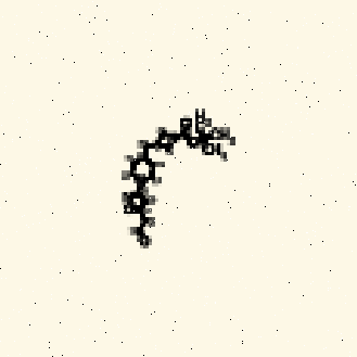 CC(C)(C)OC(=O)N1CC(CC2CCN(c3cc(CC=O)on3)CC2)C1